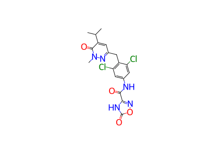 CC(C)c1cc(Cc2c(Cl)cc(NC(=O)c3noc(=O)[nH]3)cc2Cl)nn(C)c1=O